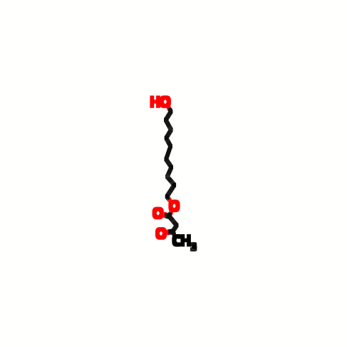 CC(=O)CC(=O)OCCCCCCCCCCO